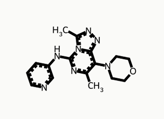 Cc1nc(Nc2cccnc2)n2c(C)nnc2c1N1CCOCC1